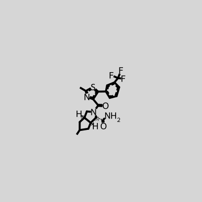 Cc1nc(C(=O)N2C[C@@H]3CC(C)C[C@@H]3[C@H]2C(N)=O)c(-c2cccc(C(F)(F)F)c2)s1